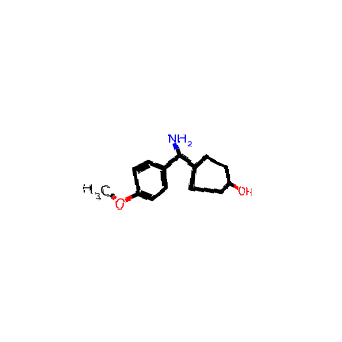 COc1ccc(C(N)C2CCC(O)CC2)cc1